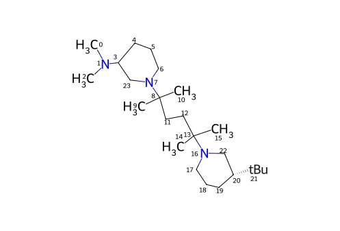 CN(C)C1CCCN(C(C)(C)CCC(C)(C)N2CCC[C@@H](C(C)(C)C)C2)C1